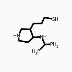 PC(P)NC1CCNCC1CCCS